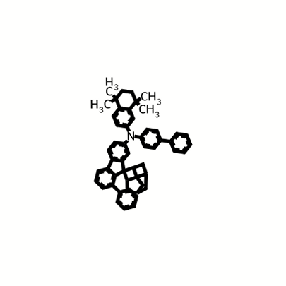 CC1(C)CCC(C)(C)c2cc(N(c3ccc(-c4ccccc4)cc3)c3ccc4c(c3)C3(c5c(-c6ccccc6)cccc5-4)C4CC5CC6CC3C64C5)ccc21